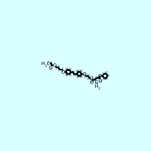 C=CC(=O)OCCCCOc1ccc(/C=C/c2ccc(OCCCOC(=O)C(=C)CC(=O)OC3CCCCC3)cc2)cc1